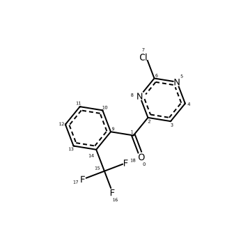 O=C(c1ccnc(Cl)n1)c1ccccc1C(F)(F)F